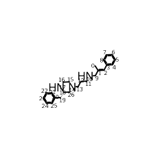 C/C(=C\c1ccccc1)CNCCCN1CCN[C@@H](Cc2ccccc2)C1